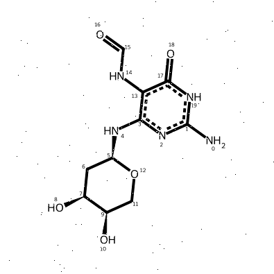 Nc1nc(N[C@@H]2C[C@H](O)[C@H](O)CO2)c(NC=O)c(=O)[nH]1